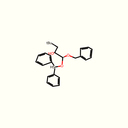 CC(C)(C)CC(O)[C@@H](OCc1ccccc1)O[SiH](c1ccccc1)c1ccccc1